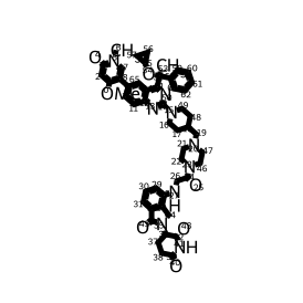 COc1cc(=O)n(C)cc1-c1ccc2nc(N3CCC(CN4CCN(C(=O)CNc5cccc6c5CN(C5CCC(=O)NC5=O)C6=O)CC4)CC3)nc(C(C)(OC3CC3)c3ccccc3)c2c1